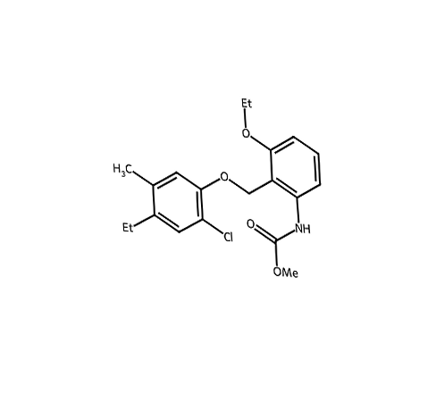 CCOc1cccc(NC(=O)OC)c1COc1cc(C)c(CC)cc1Cl